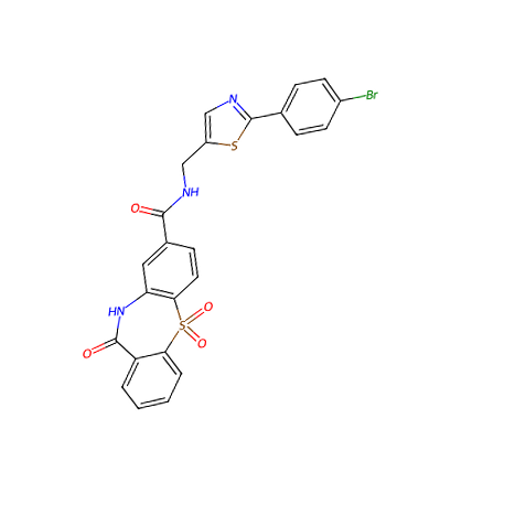 O=C(NCc1cnc(-c2ccc(Br)cc2)s1)c1ccc2c(c1)NC(=O)c1ccccc1S2(=O)=O